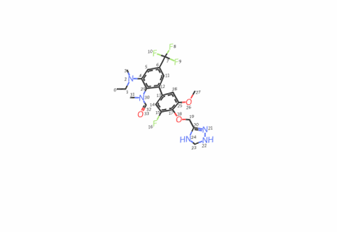 CCN(C)c1cc(C(F)(F)F)cc(-c2cc(F)c(OCC3=NNCN3)c(OC)c2)c1N(C)C=O